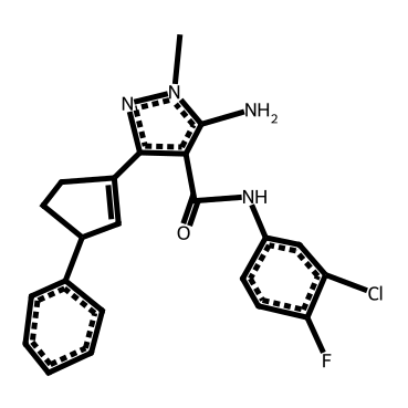 Cn1nc(C2=CC(c3ccccc3)CC2)c(C(=O)Nc2ccc(F)c(Cl)c2)c1N